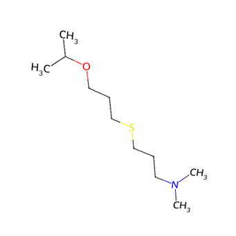 CC(C)OCCCSCCCN(C)C